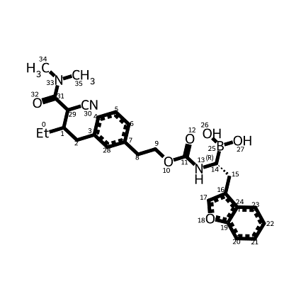 CCC(Cc1cccc(CCOC(=O)N[C@@H](Cc2coc3ccccc23)B(O)O)c1)C(C#N)C(=O)N(C)C